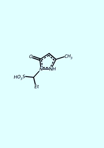 CCC(n1[nH]c(C)cc1=O)S(=O)(=O)O